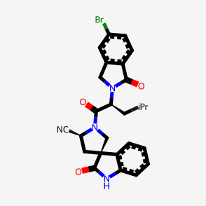 CC(C)C[C@@H](C(=O)N1C[C@]2(C[C@H]1C#N)C(=O)Nc1ccccc12)N1Cc2cc(Br)ccc2C1=O